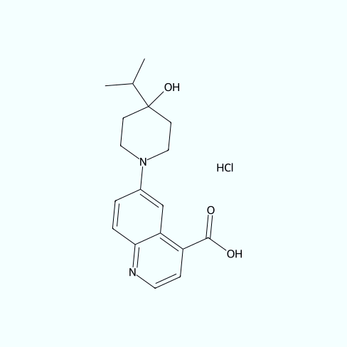 CC(C)C1(O)CCN(c2ccc3nccc(C(=O)O)c3c2)CC1.Cl